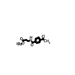 CC(Cl)c1ccc(C(=O)NCCC(=O)OC(C)(C)C)cc1